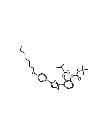 C=C(C)C(=O)Oc1c(NC(=O)OC(C)(C)C)cccc1-c1ncc(-c2ccc(OCCCCCCC)cc2)s1